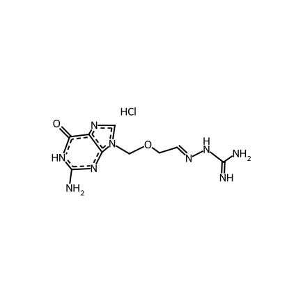 Cl.N=C(N)NN=CCOCn1cnc2c(=O)[nH]c(N)nc21